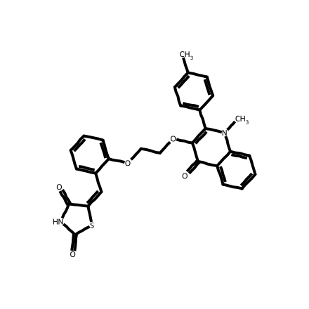 Cc1ccc(-c2c(OCCOc3ccccc3C=C3SC(=O)NC3=O)c(=O)c3ccccc3n2C)cc1